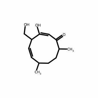 CC1C=CC(CO)/C(O)=C\C(=O)C(C)CC1